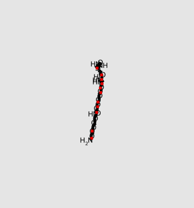 NCCOCCOCCOCCOCCOCCNC(=O)CCOCCOCCOCCOCCOCCOCCN1C=C(CNC(=O)CCCC[C@@H]2SCC3NC(=O)NC32)NN1